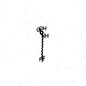 O=C(O)c1ccc(NCCCCCCCCCCCCCCCC(F)(F)F)cc1